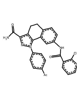 CC(=O)c1ccc(-n2nc(C(N)=O)c3c2-c2cc(NC(=O)c4cccnc4Cl)ccc2CC3)cc1